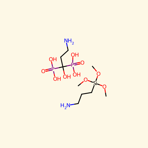 CO[Si](CCCN)(OC)OC.NCCC(O)(P(=O)(O)O)P(=O)(O)O